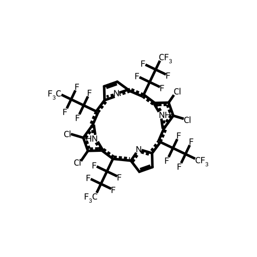 FC(F)(F)C(F)(F)C(F)(F)c1c2nc(c(C(F)(F)C(F)(F)C(F)(F)F)c3[nH]c(c(Cl)c3Cl)c(C(F)(F)C(F)(F)C(F)(F)F)c3nc(c(C(F)(F)C(F)(F)C(F)(F)F)c4[nH]c1c(Cl)c4Cl)C=C3)C=C2